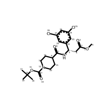 COC(=O)C[C@H](NC(=O)C1CCN(C(=O)OC(C)(C)C)CC1)c1cc(Cl)cc(Cl)c1